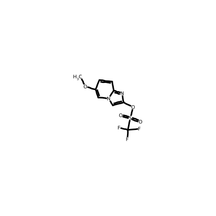 COc1ccc2nc(OS(=O)(=O)C(F)(F)F)cn2c1